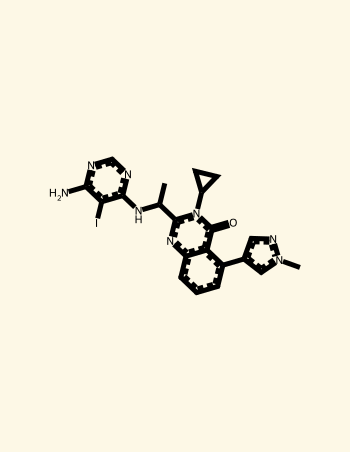 CC(Nc1ncnc(N)c1I)c1nc2cccc(-c3cnn(C)c3)c2c(=O)n1C1CC1